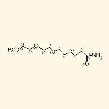 NC(=O)CCOCCOCCOCCC(=O)O